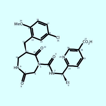 CC[C@@H](NC(=O)N1CC(=O)NC[C@@H](Cc2cc(Cl)ccc2OC)C1=O)c1ccc(C(=O)O)cn1